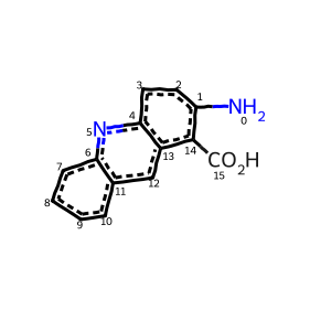 Nc1ccc2nc3ccccc3cc2c1C(=O)O